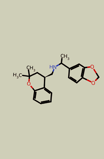 CC(NC[C@@H]1CC(C)(C)Oc2ccccc21)c1ccc2c(c1)OCO2